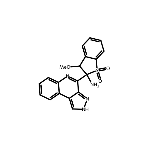 COC1c2ccccc2S(=O)(=O)C1(N)c1nc2ccccc2c2c[nH]nc12